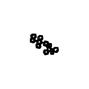 C1=Cc2oc3c4ccccc4c4c5cc(-c6c7c(c(-c8cccc9ccccc89)c8ccccc68)=CCCC=7)ccc5oc4c3c2CC1